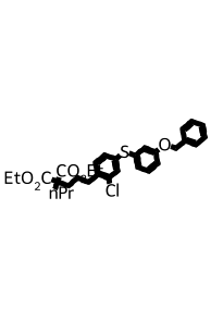 CCCC(CCCc1ccc(Sc2cccc(OCc3ccccc3)c2)cc1Cl)(C(=O)OCC)C(=O)OCC